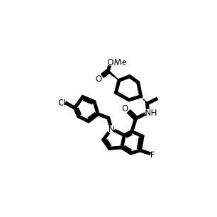 COC(=O)[C@H]1CC[C@H](C(C)NC(=O)c2cc(F)cc3ccn(Cc4ccc(Cl)cc4)c23)CC1